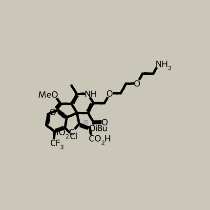 COC(=O)C1=C(C)NC(COCCOCCN)=C(C(=O)OCC(C)C)C1(/C(=C/C(=O)O)C(=O)O)c1cccc(C(F)(F)F)c1Cl